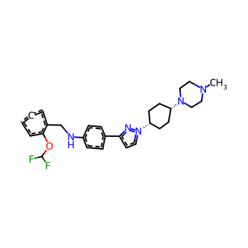 CN1CCN([C@H]2CC[C@@H](n3ccc(-c4ccc(NCc5ccccc5OC(F)F)cc4)n3)CC2)CC1